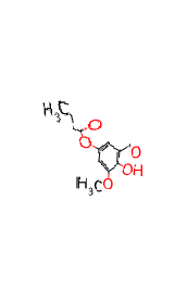 CCCC(=O)Oc1cc(C=O)c(O)c(OC)c1